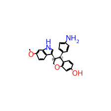 COc1ccc2c([C@@H]3COc4cc(O)ccc4[C@@H]3c3ccc(N)cc3)c[nH]c2c1